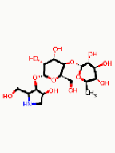 C[C@H]1O[C@H](O[C@@H]2[C@@H](O)[C@@H](O)[C@@H](OC3C(O)CNC3CO)O[C@@H]2CO)[C@H](O)[C@@H](O)[C@@H]1O